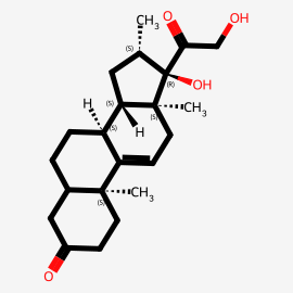 C[C@H]1C[C@H]2[C@@H]3CCC4CC(=O)CC[C@]4(C)C3=CC[C@]2(C)[C@@]1(O)C(=O)CO